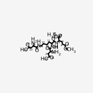 COC(=O)CCC(NC(=O)C(CCCCNC(=O)C(N)CC(=O)O)NC(=O)C(N)CC(=O)O)C(=O)OC